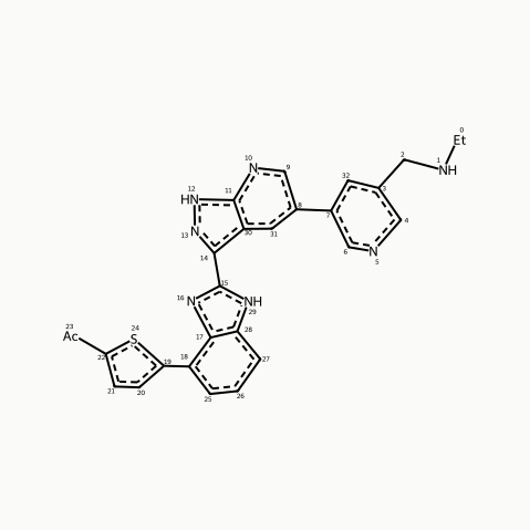 CCNCc1cncc(-c2cnc3[nH]nc(-c4nc5c(-c6ccc(C(C)=O)s6)cccc5[nH]4)c3c2)c1